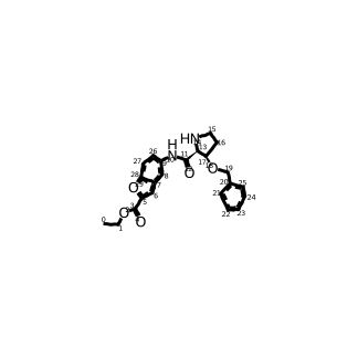 CCOC(=O)c1cc2cc(NC(=O)[C@H]3NCC[C@H]3OCc3ccccc3)ccc2o1